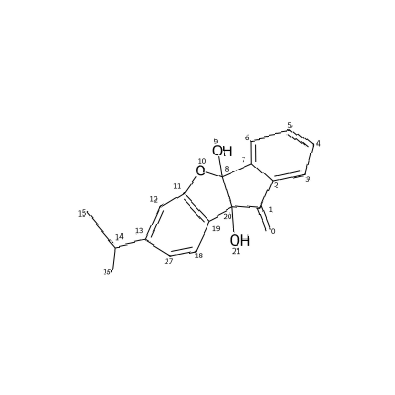 C=C1c2ccccc2C2(O)Oc3cc(C(C)C)ccc3C12O